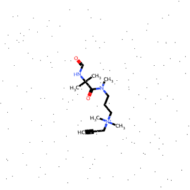 C#CC[N+](C)(C)CCCN(C)C(=O)C(C)(C)NC=O